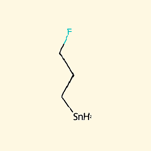 FCC[CH2][SnH]